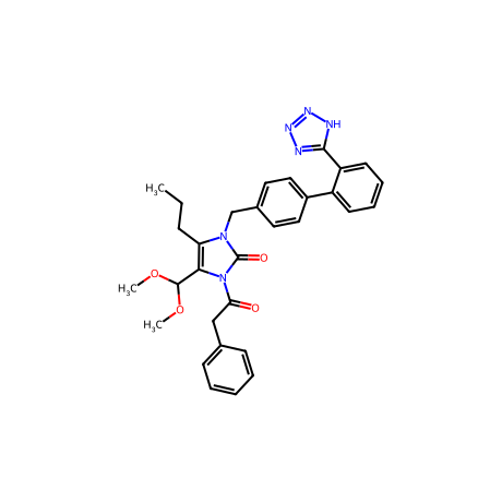 CCCc1c(C(OC)OC)n(C(=O)Cc2ccccc2)c(=O)n1Cc1ccc(-c2ccccc2-c2nnn[nH]2)cc1